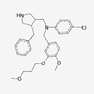 COCCCOc1cc(CN(CC2CNCC2Cc2ccccc2)c2ccc(Cl)cc2)ccc1OC